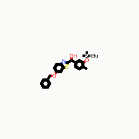 Cc1ccc(C(O)c2nc3ccc(OCc4ccccc4)cc3s2)cc1O[Si](C)(C)C(C)(C)C